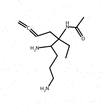 C=C=CCC(CC)(NC(C)=O)C(N)CCCN